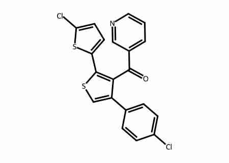 O=C(c1cccnc1)c1c(-c2ccc(Cl)cc2)csc1-c1ccc(Cl)s1